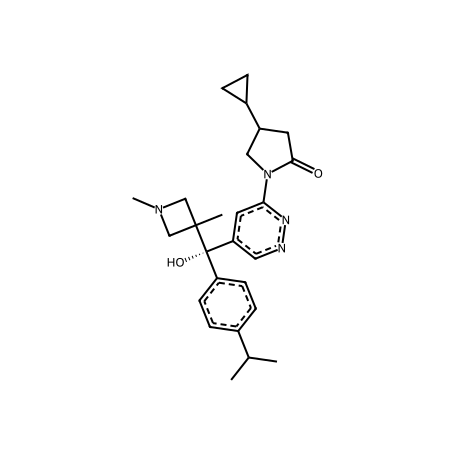 CC(C)c1ccc([C@](O)(c2cnnc(N3CC(C4CC4)CC3=O)c2)C2(C)CN(C)C2)cc1